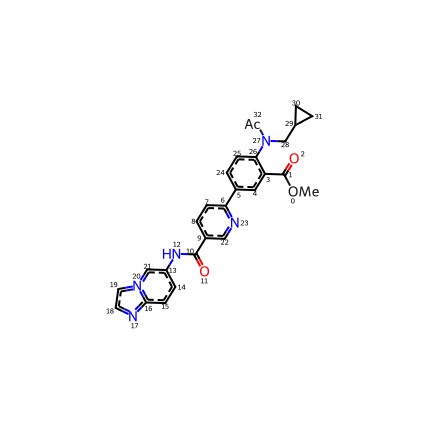 COC(=O)c1cc(-c2ccc(C(=O)Nc3ccc4nccn4c3)cn2)ccc1N(CC1CC1)C(C)=O